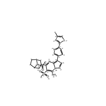 CC(=O)N1C2CCC1CC(c1nc3c(-c4ccc(-c5nc(C)cs5)nc4)cnn3c(N)c1S(C)(=O)=O)C2